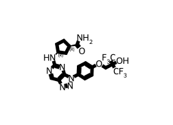 NC(=O)[C@@H]1CC[C@@H](Nc2ncc3nnn(-c4ccc(OCC(O)(C(F)(F)F)C(F)(F)F)cc4)c3n2)C1